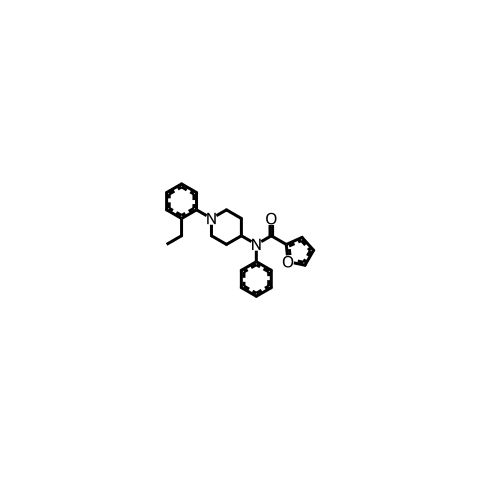 CCc1ccccc1N1CCC(N(C(=O)c2ccco2)c2ccccc2)CC1